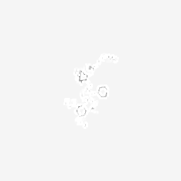 COCCNCc1[nH]nnc1CN1CCOC(O[C@H](C)c2cc(C(F)(F)F)cc(C(F)(F)F)c2)C1c1ccccc1